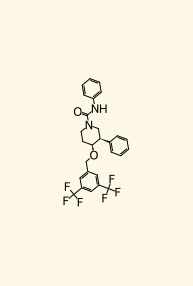 O=C(Nc1ccccc1)N1CC[C@H](OCc2cc(C(F)(F)F)cc(C(F)(F)F)c2)[C@H](c2ccccc2)C1